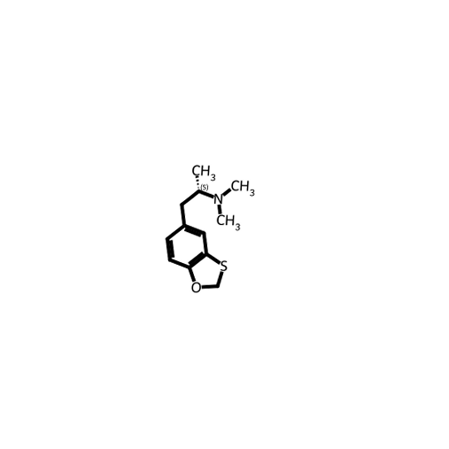 C[C@@H](Cc1ccc2c(c1)SCO2)N(C)C